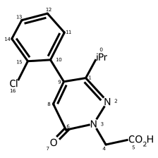 CC(C)c1nn(CC(=O)O)c(=O)cc1-c1ccccc1Cl